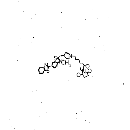 C[n+]1c(C=C2C=CN(CCCCCC(=O)ON3C(=O)CCC3=O)C=C2)sc2cc(-c3nc4ccccc4s3)ccc21